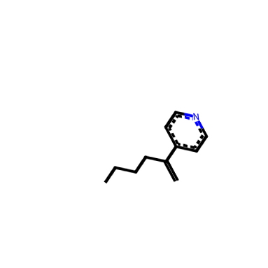 C=C(CCCC)c1ccncc1